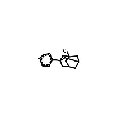 ClC12CC3CC(C1)CC(c1cc[c]cc1)(C3)C2